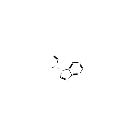 CN([C]=S)n1cnc2ncncc21